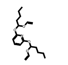 C=COC(CCCC)Oc1cccc(OC(CCCC)OC=C)n1